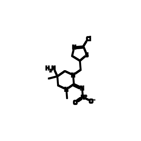 CN1CC(C)(N)CN(CC2CN=C(Cl)S2)/C1=N/[N+](=O)[O-]